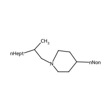 CCCCCCCCCC1CCN(CC(C)CCCCCCC)CC1